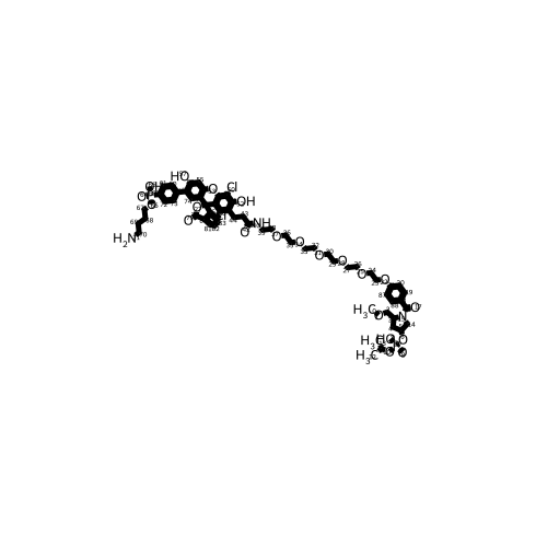 COCC1CC(OP(=O)(O)OC(C)C)CN1C(=O)c1ccc(OCCOCCOCCOCCOCCOCCNC(=O)CCc2cc3c(c(Cl)c2O)Oc2cc(O)c(-c4ccc(P(=O)(O)OCCCCN)cc4)cc2C32OC(=O)c3cccc(Cl)c32)cc1